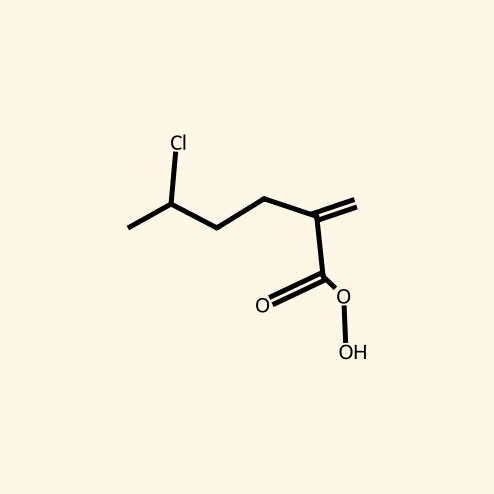 C=C(CCC(C)Cl)C(=O)OO